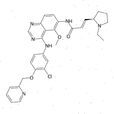 CCN1CCC[C@@H]1/C=C/C(=O)Nc1ccc2ncnc(Nc3ccc(OCc4ccccn4)c(Cl)c3)c2c1OC